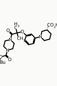 CC(C)(C)OC(=O)N1CCN(C(=O)C(C)(C)Oc2cccc(N3CCC[C@@H](C(=O)O)C3)c2)CC1